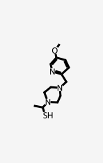 COc1ccc(CN2CCN(C(C)S)CC2)nc1